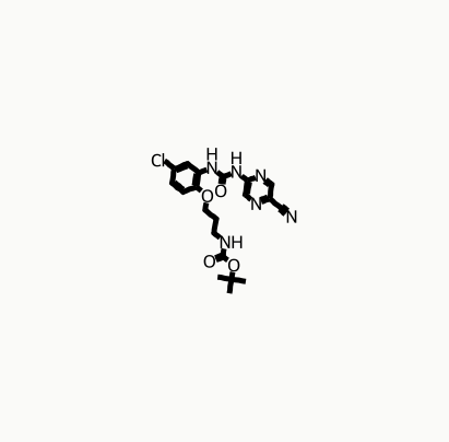 CC(C)(C)OC(=O)NCCCOc1ccc(Cl)cc1NC(=O)Nc1cnc(C#N)cn1